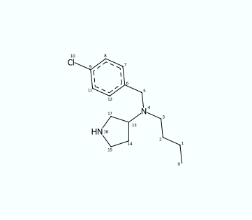 CCCCN(Cc1ccc(Cl)cc1)C1CCNC1